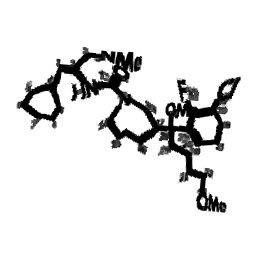 CNCC(CC1CCCCC1)NC(=O)N1CCCC(C(CCCCOC)(OC)c2cccc(Cl)c2F)C1